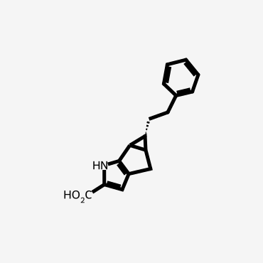 O=C(O)c1cc2c([nH]1)C1C(C2)[C@H]1CCc1ccccc1